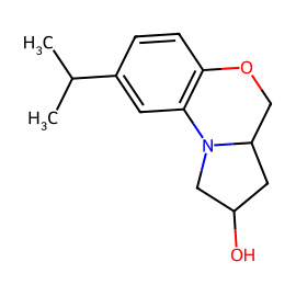 CC(C)c1ccc2c(c1)N1CC(O)CC1CO2